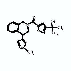 Cn1cc(C2CN(C(=O)c3cc(C(C)(C)C)no3)Cc3ccccc32)cn1